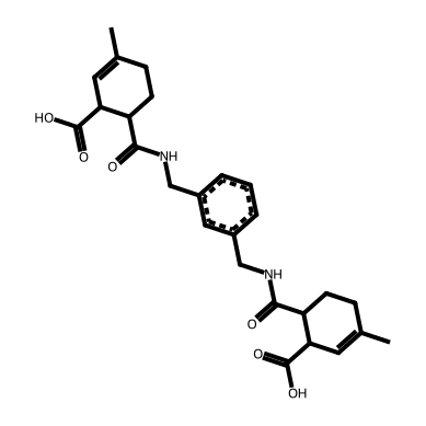 CC1=CC(C(=O)O)C(C(=O)NCc2cccc(CNC(=O)C3CCC(C)=CC3C(=O)O)c2)CC1